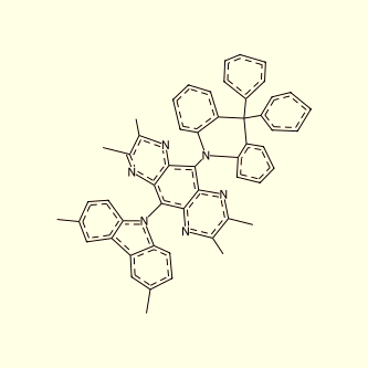 Cc1ccc2c(c1)c1cc(C)ccc1n2-c1c2nc(C)c(C)nc2c(N2c3ccccc3C(c3ccccc3)(c3ccccc3)c3ccccc32)c2nc(C)c(C)nc12